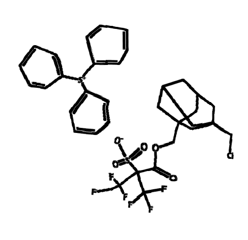 O=C(OCC12CC3CC(CC(CCl)(C3)C1)C2)C(C(F)(F)F)(C(F)(F)F)S(=O)(=O)[O-].c1ccc([S+](c2ccccc2)c2ccccc2)cc1